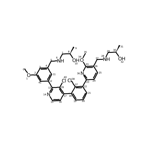 COc1cc(CNC[C@@H](C)O)cc(-c2nccc(-c3cccc(-c4ccc(CNC[C@@H](C)O)c(OC)n4)c3Cl)c2Cl)c1